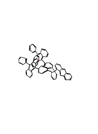 C1=CC(c2ccc(-c3c4ccccc4c(-c4ccccc4)c4ccccc34)cc2)C(c2ccc(-c3c4ccccc4c(-c4ccccc4)c4ccccc34)cc2)(c2cccc3cc4ccccc4cc23)C=C1